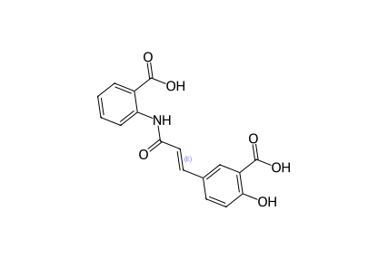 O=C(/C=C/c1ccc(O)c(C(=O)O)c1)Nc1ccccc1C(=O)O